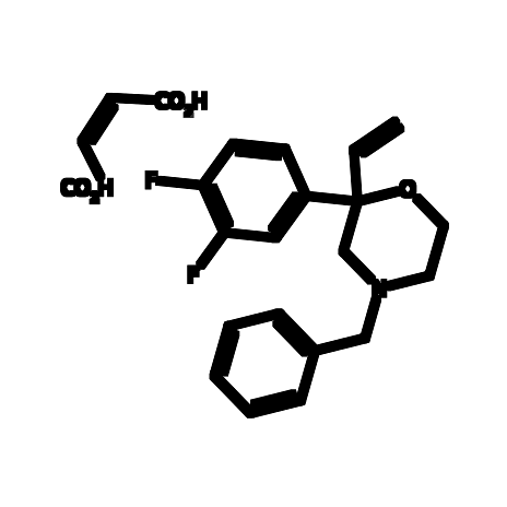 C=CC1(c2ccc(F)c(F)c2)CN(Cc2ccccc2)CCO1.O=C(O)/C=C\C(=O)O